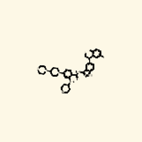 O=C(Nc1n[nH]c2ccc(C(CF)c3cc(F)ccc3F)cc12)c1ccc(N2CCC(N3CCOCC3)CC2)cc1NC1CCOCC1